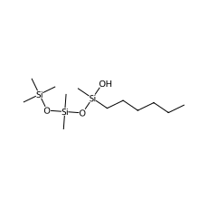 CCCCCC[Si](C)(O)O[Si](C)(C)O[Si](C)(C)C